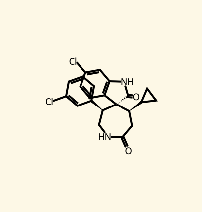 O=C1C[C@H](C2CC2)[C@@]2(C(=O)Nc3cc(Cl)ccc32)[C@H](c2cccc(Cl)c2)CN1